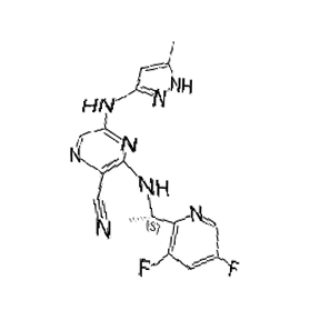 Cc1cc(Nc2cnc(C#N)c(N[C@@H](C)c3ncc(F)cc3F)n2)n[nH]1